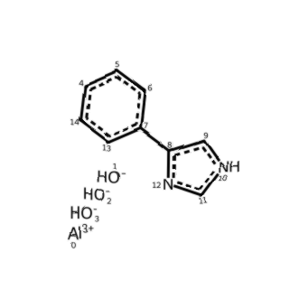 [Al+3].[OH-].[OH-].[OH-].c1ccc(-c2c[nH]cn2)cc1